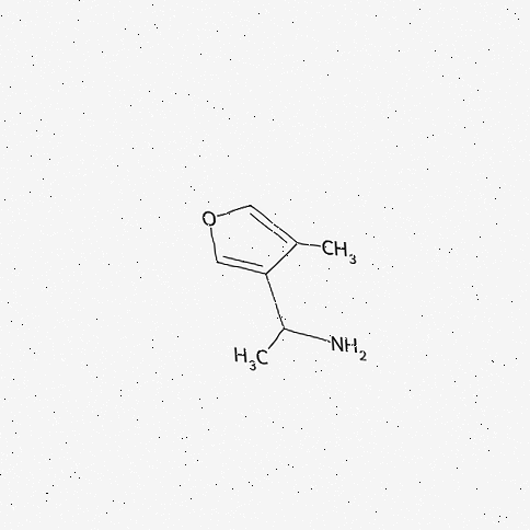 Cc1cocc1C(C)N